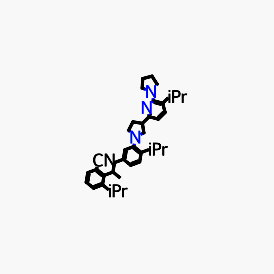 CC(C)c1ccc(CC(C)c2c(C#N)cccc2C(C)C)cc1N1CCC(c2ccc(C(C)C)c(N3CCCC3)n2)C1